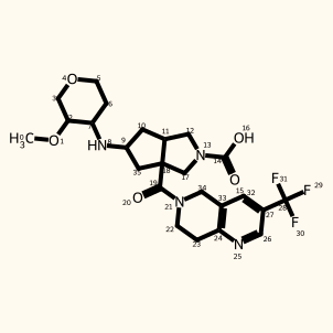 COC1COCCC1NC1CC2CN(C(=O)O)CC2(C(=O)N2CCc3ncc(C(F)(F)F)cc3C2)C1